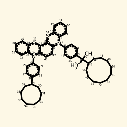 CC(C)(c1ccc(-n2c3ccccc3sc3c4sc5ccccc5n(-c5ccc(C6CCCCCCCC6)cc5)c4ccc32)cc1)C1CCCCCCCCCC1